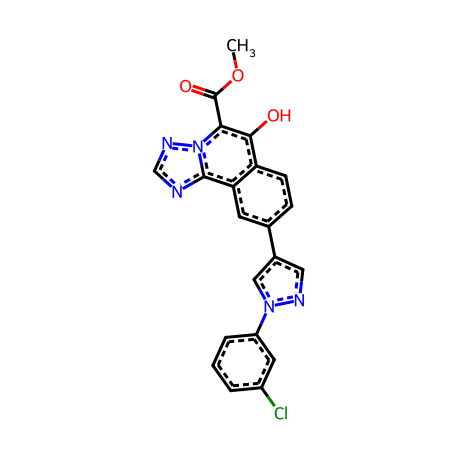 COC(=O)c1c(O)c2ccc(-c3cnn(-c4cccc(Cl)c4)c3)cc2c2ncnn12